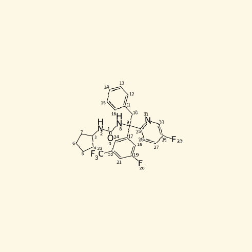 O=C(NC1CCCC1)NC(Cc1ccccc1)(c1cc(F)cc(C(F)(F)F)c1)c1ccc(F)cn1